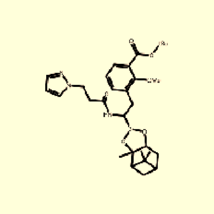 COc1c(CC(NC(=O)CCn2cccn2)B2OC3CC4CC(C4(C)C)C3(C)O2)cccc1C(=O)OC(C)(C)C